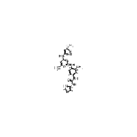 Cc1cc(Nc2cc(C)nc(Nc3ccc(NC(=O)Nc4cnc[nH]4)cc3C)n2)[nH]n1